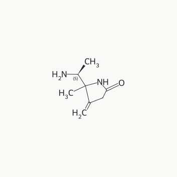 C=C1CC(=O)NC1(C)[C@H](C)N